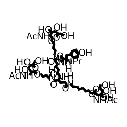 CC(=O)NC1C(OCCCCCCNC(=O)CCC(NC(=O)CCC(NC(=O)C(Cc2ccc(O)cc2)NC(C)C)C(=O)NCCCCOC2OC(CO)C(O)C(O)C2NC(C)=O)C(=O)NCCCCOC2OC(CO)C(O)C(O)C2NC(C)=O)OC(CO)C(O)C1O